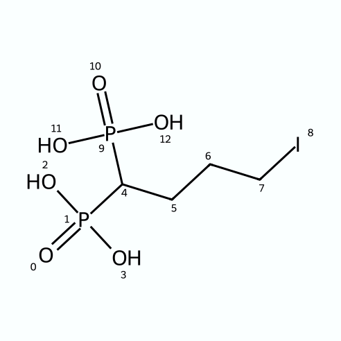 O=P(O)(O)C(CCCI)P(=O)(O)O